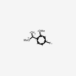 COc1cc(F)ccc1C(C)OC